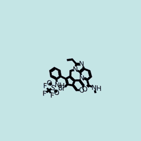 CCc1nc2ccc(C(=O)NC)nc2n1Cc1c2ccocc-2c(Br)c1-c1ccccc1NS(=O)(=O)C(F)(F)F